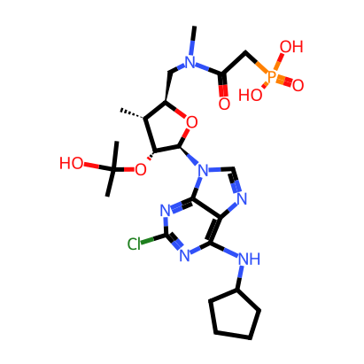 C[C@H]1[C@@H](OC(C)(C)O)[C@H](n2cnc3c(NC4CCCC4)nc(Cl)nc32)O[C@@H]1CN(C)C(=O)CP(=O)(O)O